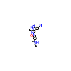 C[C@H](NCC1CCC1)c1ccc2c(c1)C(=O)N(c1cc(-c3ccc(C#N)cc3-c3nncn3C)cc(C3CC3)n1)C2